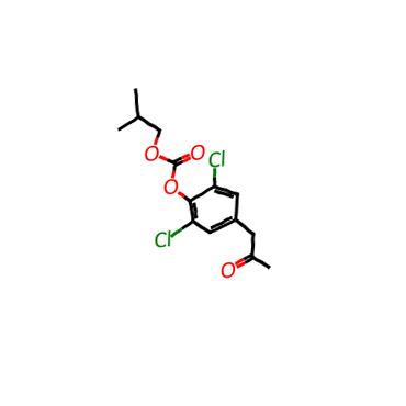 CC(=O)Cc1cc(Cl)c(OC(=O)OCC(C)C)c(Cl)c1